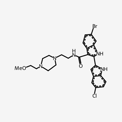 COCCN1CCN(CCNC(=O)c2c(-c3cc4cc(Cl)ccc4[nH]3)[nH]c3cc(Br)ccc23)CC1